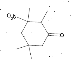 CC1C(=O)CC(C)(C)CC1(C)[N+](=O)[O-]